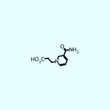 NC(=O)C1=CC=CN(CCC(=O)O)C1